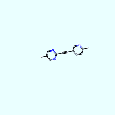 Cc1cnc(C#Cc2ccc(C)nc2)nc1